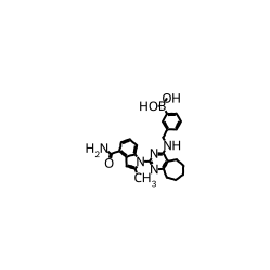 Cc1cc2c(C(N)=O)cccc2n1-c1nc2c(c(NCc3cccc(B(O)O)c3)n1)CCCCC2